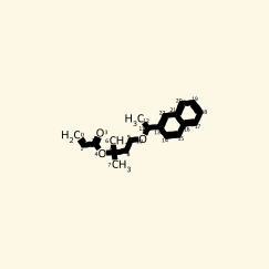 C=CC(=O)OC(C)(C)CCOC(C)c1ccc2ccccc2c1